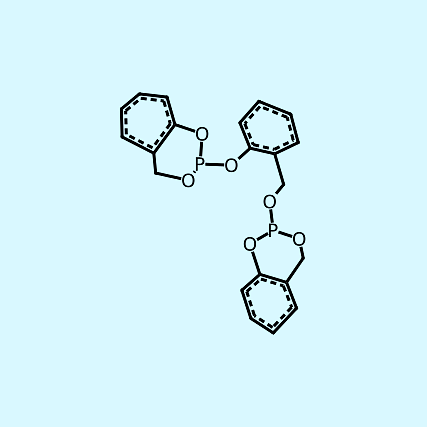 c1ccc2c(c1)COP(OCc1ccccc1OP1OCc3ccccc3O1)O2